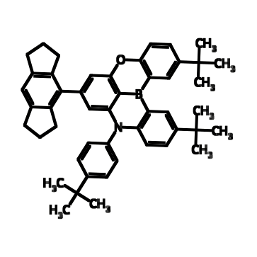 CC(C)(C)c1ccc(N2c3ccc(C(C)(C)C)cc3B3c4cc(C(C)(C)C)ccc4Oc4cc(-c5c6c(cc7c5CCC7)CCC6)cc2c43)cc1